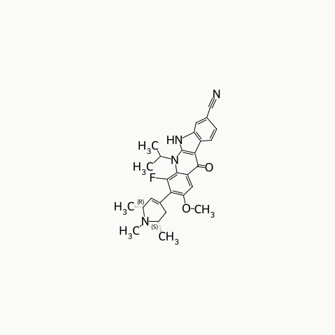 COc1cc2c(=O)c3c4ccc(C#N)cc4[nH]c3n(C(C)C)c2c(F)c1C1=C[C@@H](C)N(C)[C@@H](C)C1